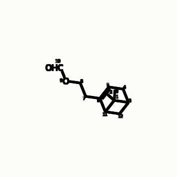 CC1(C)C2CC=C(CCOC=O)C1C2